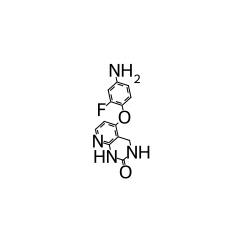 Nc1ccc(Oc2ccnc3c2CNC(=O)N3)c(F)c1